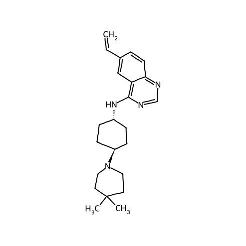 C=Cc1ccc2ncnc(N[C@H]3CC[C@H](N4CCC(C)(C)CC4)CC3)c2c1